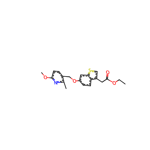 CCOC(=O)Cc1csc2cc(OCc3ccc(OC)nc3C)ccc12